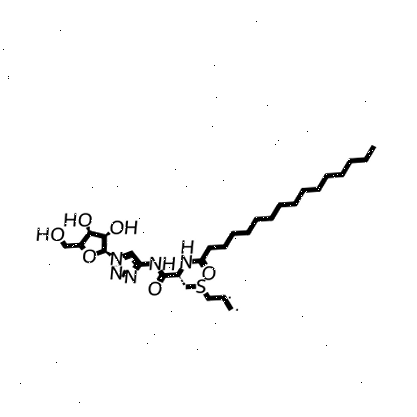 [CH2][CH]CSC[C@@H](NC(=O)CCCCCCCCCCCCCCC)C(=O)Nc1cn([C@H]2OC(CO)[C@@H](O)[C@H]2O)nn1